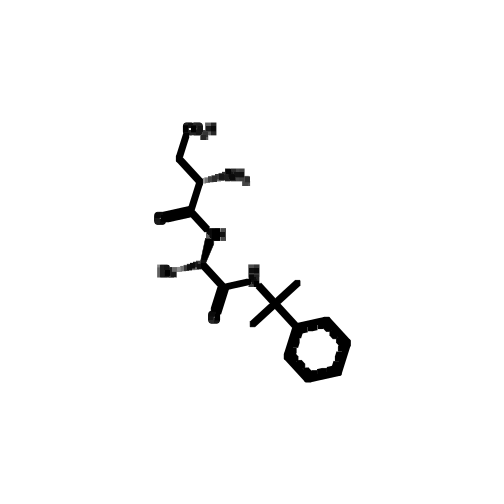 CC[C@@H](C)[C@@H](NC(=O)[C@@H](N)CC(=O)O)C(=O)NC(C)(C)c1ccccc1